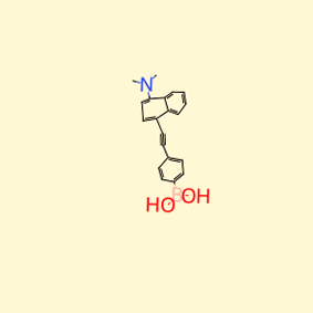 CN(C)c1ccc(C#Cc2ccc(B(O)O)cc2)c2ccccc12